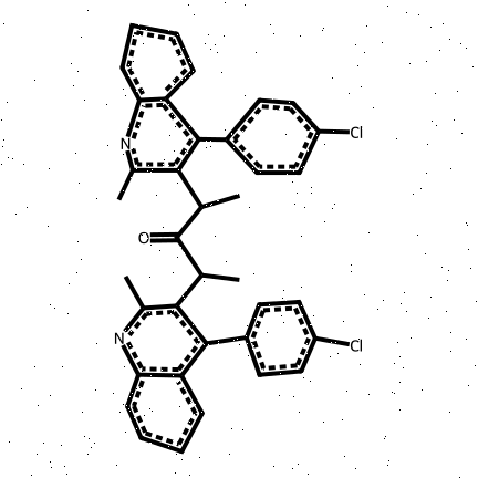 Cc1nc2ccccc2c(-c2ccc(Cl)cc2)c1C(C)C(=O)C(C)c1c(C)nc2ccccc2c1-c1ccc(Cl)cc1